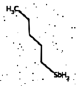 CCCC[CH2][SbH2]